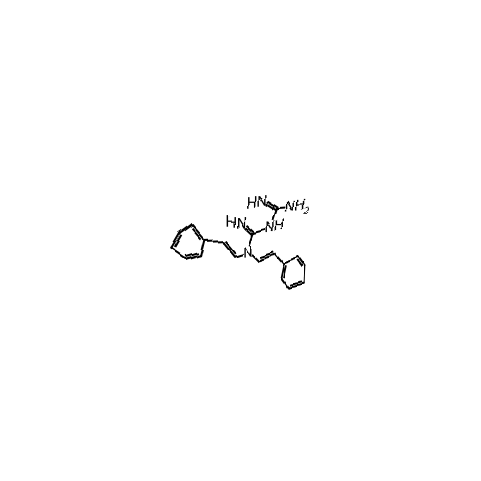 N=C(N)NC(=N)N(C=Cc1ccccc1)C=Cc1ccccc1